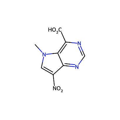 Cn1cc([N+](=O)[O-])c2ncnc(C(=O)O)c21